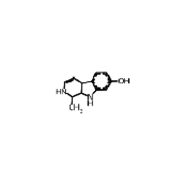 CC1NC=CC2c3ccc(O)cc3NC12